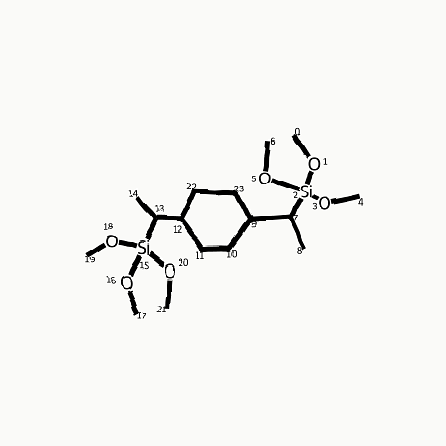 CO[Si](OC)(OC)C(C)C1CCC(C(C)[Si](OC)(OC)OC)CC1